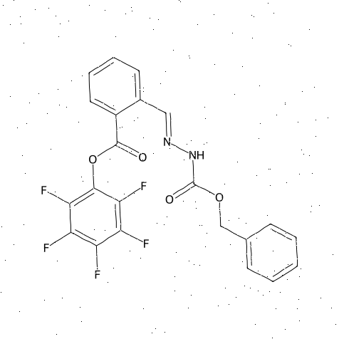 O=C(NN=Cc1ccccc1C(=O)Oc1c(F)c(F)c(F)c(F)c1F)OCc1ccccc1